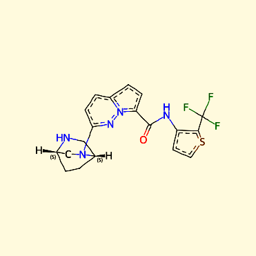 O=C(Nc1ccsc1C(F)(F)F)c1ccc2ccc(N3C[C@@H]4CC[C@H]3CN4)nn12